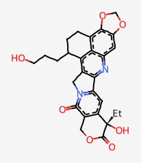 CC[C@@]1(O)C(=O)OCc2c1cc1n(c2=O)Cc2c-1nc1cc3c(c4c1c2C(CCCO)CC4)OCO3